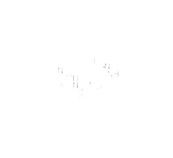 O=C(NCC1(c2ccccn2)CC1)c1ccc2[nH]nc(I)c2c1